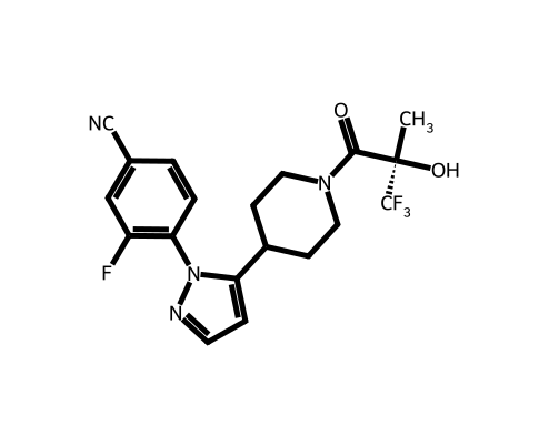 C[C@@](O)(C(=O)N1CCC(c2ccnn2-c2ccc(C#N)cc2F)CC1)C(F)(F)F